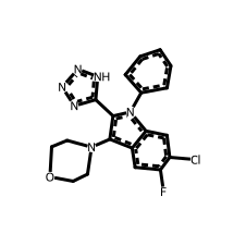 Fc1cc2c(N3CCOCC3)c(-c3nnn[nH]3)n(-c3ccccc3)c2cc1Cl